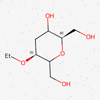 CCO[C@H]1CC(O)[C@@H](CO)OC1CO